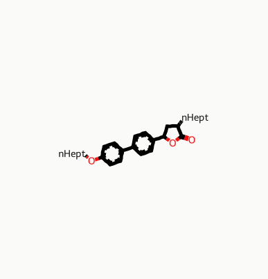 CCCCCCCOc1ccc(-c2ccc(C3CC(CCCCCCC)C(=O)O3)cc2)cc1